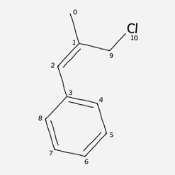 CC(=Cc1ccccc1)CCl